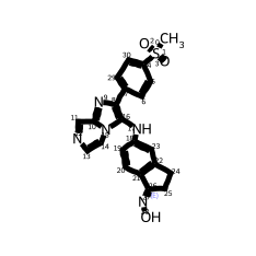 CS(=O)(=O)c1ccc(-c2nc3cnccn3c2Nc2ccc3c(c2)CC/C3=N\O)cc1